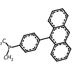 CP(C)c1ccc(-c2c3ccccc3cc3ccccc23)cc1